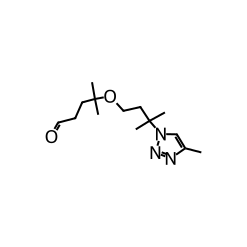 Cc1cn(C(C)(C)CCOC(C)(C)CCC=O)nn1